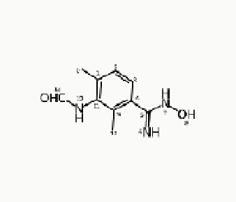 Cc1ccc(C(=N)NO)c(C)c1NC=O